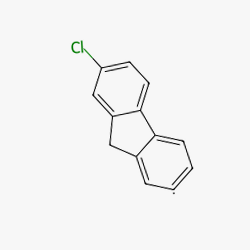 Clc1ccc2c(c1)Cc1c[c]ccc1-2